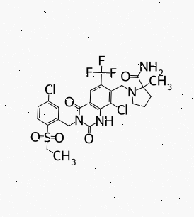 CCS(=O)(=O)c1ccc(Cl)cc1Cn1c(=O)[nH]c2c(Cl)c(CN3CCCC3(C)C(N)=O)c(C(F)(F)F)cc2c1=O